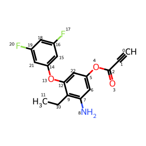 C#CC(=O)Oc1cc(N)c(CC)c(Oc2cc(F)cc(F)c2)c1